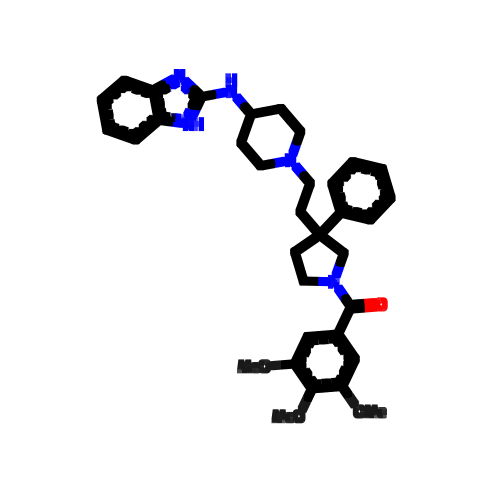 COc1cc(C(=O)N2CCC(CCN3CCC(Nc4nc5ccccc5[nH]4)CC3)(c3ccccc3)C2)cc(OC)c1OC